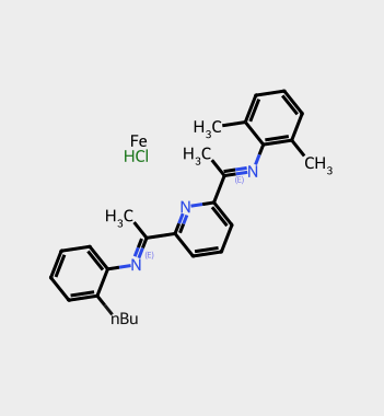 CCCCc1ccccc1/N=C(\C)c1cccc(/C(C)=N/c2c(C)cccc2C)n1.Cl.[Fe]